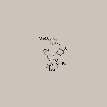 COc1ccc(Cc2cc([C@@H]3OC(CO)=C[C@H](O[Si](C)(C)C(C)(C)C)[C@H]3O[Si](C)(C)C(C)(C)C)ccc2Cl)cc1